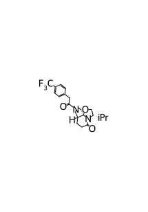 CC(C)[C@H]1CO[C@]23CCN(C(=O)Cc4ccc(C(F)(F)F)cc4)C[C@H]2CCC(=O)N13